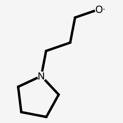 [O]CCCN1CCCC1